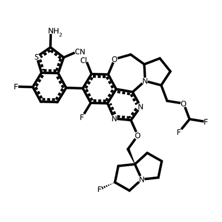 N#Cc1c(N)sc2c(F)ccc(-c3c(Cl)c4c5c(nc(OC[C@@]67CCCN6C[C@H](F)C7)nc5c3F)N3C(CCC3COC(F)F)CO4)c12